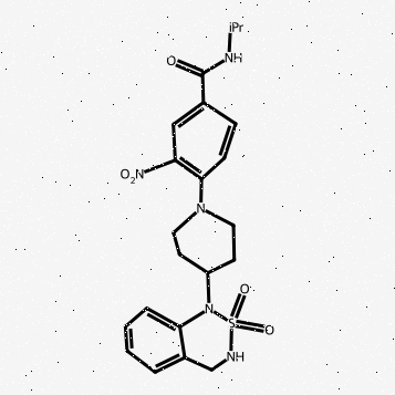 CC(C)NC(=O)c1ccc(N2CCC(N3c4ccccc4CNS3(=O)=O)CC2)c([N+](=O)[O-])c1